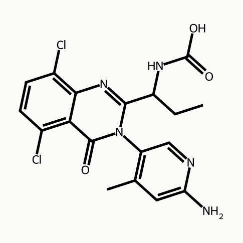 CCC(NC(=O)O)c1nc2c(Cl)ccc(Cl)c2c(=O)n1-c1cnc(N)cc1C